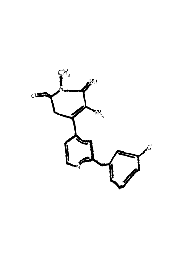 CN1C(=N)C(N)=C(c2ccnc(-c3cccc(Cl)c3)c2)CC1=O